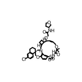 CC1(C)OCC=C[C@H](OCC(=O)N[C@H]2CCOC2)[C@@H]2CC[C@H]2CN2C[C@@]3(CCCc4cc(Cl)ccc43)COc3ccc(cc32)S(=O)(=O)NC1=O